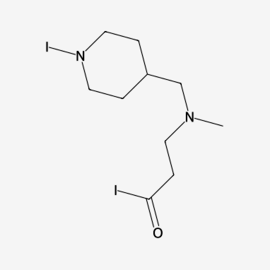 CN(CCC(=O)I)CC1CCN(I)CC1